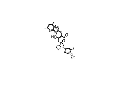 Cc1cc(C)n2nc(SC3=C(O)CC(CCc4ccc(OC(C)C)c(F)c4)(C4CCCC4)OC3=O)nc2n1